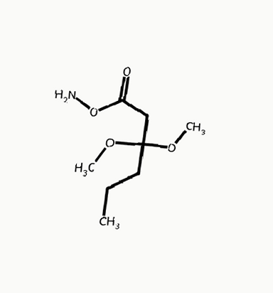 CCCC(CC(=O)ON)(OC)OC